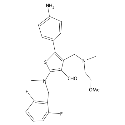 COCCN(C)Cc1c(-c2ccc(N)cc2)sc(N(C)Cc2c(F)cccc2F)c1C=O